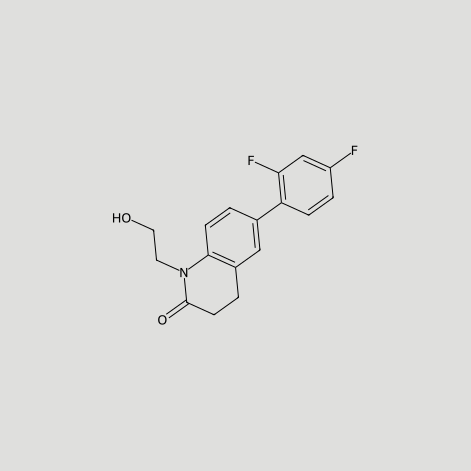 O=C1CCc2cc(-c3ccc(F)cc3F)ccc2N1CCO